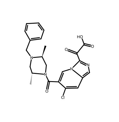 C[C@@H]1CN(Cc2ccccc2)[C@@H](C)CN1C(=O)c1cn2c(C(=O)C(=O)O)ncc2cc1Cl